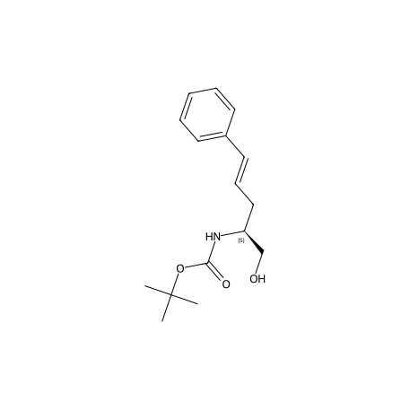 CC(C)(C)OC(=O)N[C@H](CO)CC=Cc1ccccc1